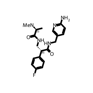 CN[C@@H](C)C(=O)NC[C@H](C(=O)NCc1ccc(N)nc1)c1ccc(F)cc1